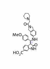 COc1ccc(/C(Nc2ccc3c(c2)CN(C(=O)CN2CCCCC2)C3)=C2/C(=O)Nc3cc(C(=O)O)ccc32)cc1